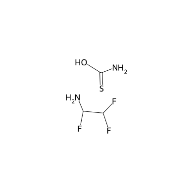 NC(F)C(F)F.NC(O)=S